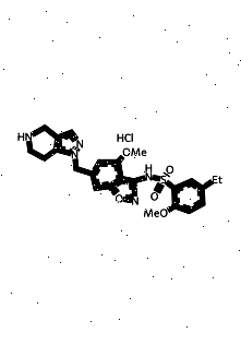 CCc1ccc(OC)c(S(=O)(=O)Nc2noc3cc(Cn4ncc5c4CCNC5)cc(OC)c23)c1.Cl